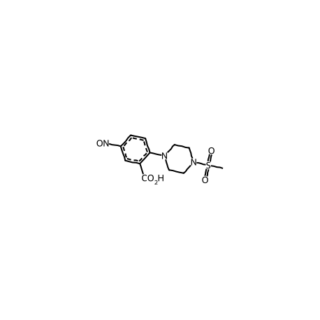 CS(=O)(=O)N1CCN(c2ccc(N=O)cc2C(=O)O)CC1